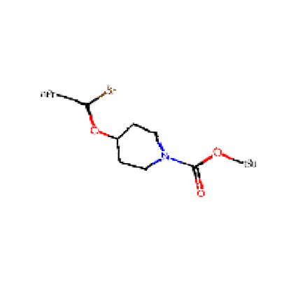 CCCC(Br)OC1CCN(C(=O)OC(C)(C)C)CC1